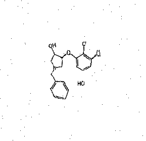 Cl.OC1CN(Cc2ccccc2)CC1Oc1cccc(Cl)c1Cl